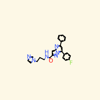 O=C(NCCCn1ccnc1)c1cc2nc(-c3ccccc3)cc(-c3ccc(F)cc3)n2n1